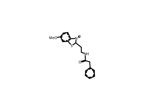 COc1ccc2c(c1)SC(CCNC(=O)Cc1ccccc1)[N+]2=O